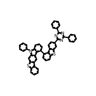 c1ccc(-c2nc(-c3ccccc3)nc(-c3ccc4c(c3)sc3cccc(-c5cccc6c5c5cc7c(cc5n6-c5ccccc5)sc5ccccc57)c34)n2)cc1